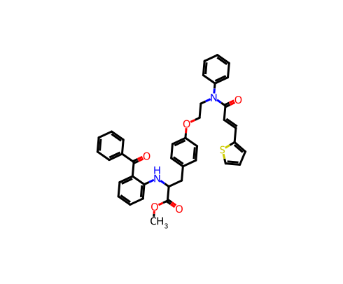 COC(=O)C(Cc1ccc(OCCN(C(=O)C=Cc2cccs2)c2ccccc2)cc1)Nc1ccccc1C(=O)c1ccccc1